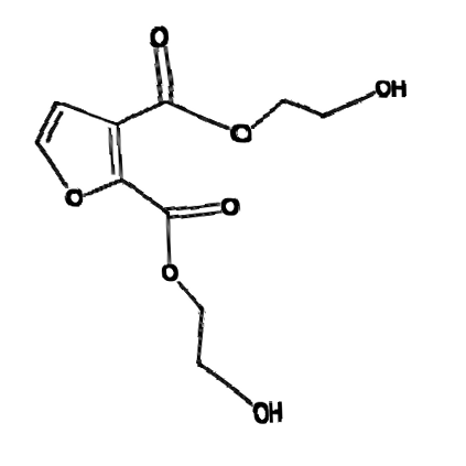 O=C(OCCO)c1ccoc1C(=O)OCCO